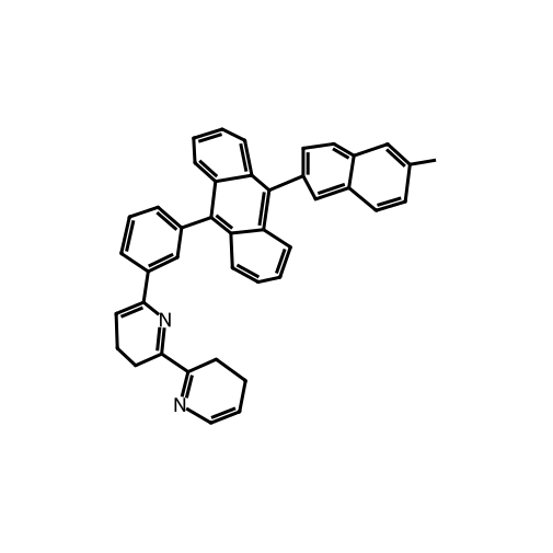 Cc1ccc2cc(-c3c4ccccc4c(-c4cccc(C5=CCCC(C6=NC=CCC6)=N5)c4)c4ccccc34)ccc2c1